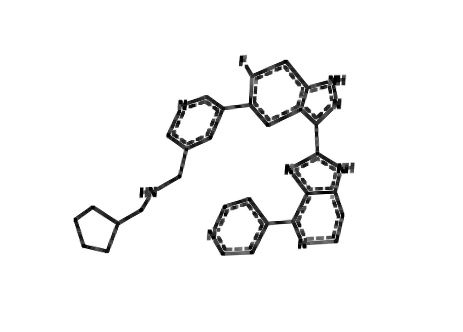 Fc1cc2[nH]nc(-c3nc4c(-c5ccncc5)nccc4[nH]3)c2cc1-c1cncc(CNCC2CCCC2)c1